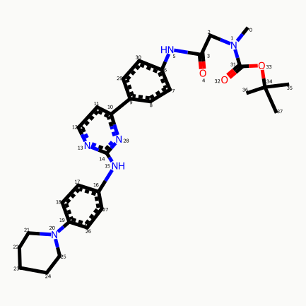 CN(CC(=O)Nc1ccc(-c2ccnc(Nc3ccc(N4CCCCC4)cc3)n2)cc1)C(=O)OC(C)(C)C